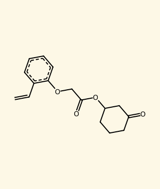 C=Cc1ccccc1OCC(=O)OC1CCCC(=O)C1